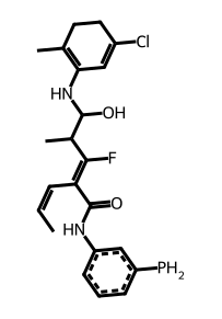 C/C=C\C(C(=O)Nc1cccc(P)c1)=C(\F)C(C)C(O)NC1=C(C)CCC(Cl)=C1